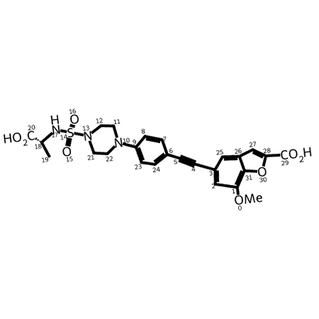 COc1cc(C#Cc2ccc(N3CCN(S(=O)(=O)N[C@H](C)C(=O)O)CC3)cc2)cc2cc(C(=O)O)oc12